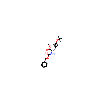 COC(=O)[C@H](CC12CC(OC(C)(C)C)(C1)C2)NC(=O)OCc1ccccc1